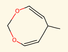 CC1/C=C\OCO/C=C\1